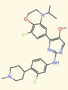 COc1cnc(Nc2ccc(C3CCN(C)CC3)c(F)c2)nc1-c1cc(F)c2c(c1)N(C(C)C)CCO2